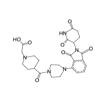 O=C(O)CN1CCC(C(=O)N2CCN(c3cccc4c3C(=O)N(C3CCC(=O)NC3=O)C4=O)CC2)CC1